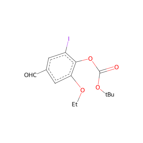 CCOc1cc(C=O)cc(I)c1OC(=O)OC(C)(C)C